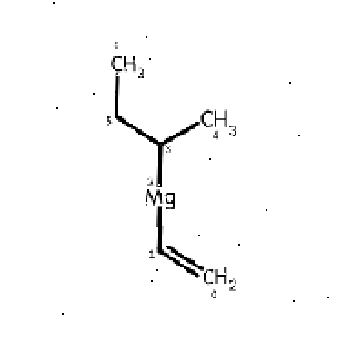 C=[CH][Mg][CH](C)CC